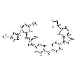 Cc1cnn(-c2ccc(C(F)(F)F)cc2NC(=O)Nc2cnc(Oc3ccc(-c4cnn5ccc(N6CCC6)nc45)cc3)nc2)c1